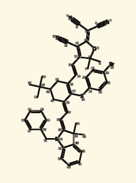 CC1(C)OC(=C(C#N)C#N)C(C#N)=C1/C=C/C1=C(Sc2ccc(Br)cc2)C(=C/C=C2/N(Cc3ccccc3)c3ccccc3C2(C)C)/CC(C(C)(C)C)C1